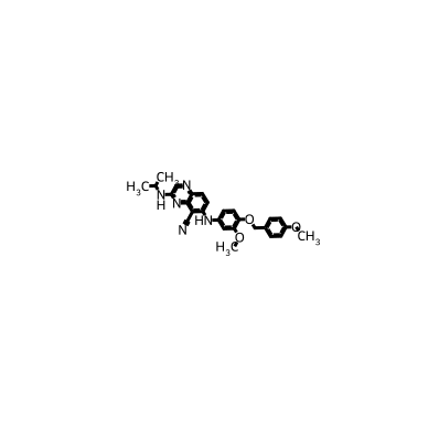 COc1ccc(COc2ccc(Nc3ccc4ncc(NC(C)C)nc4c3C#N)cc2OC)cc1